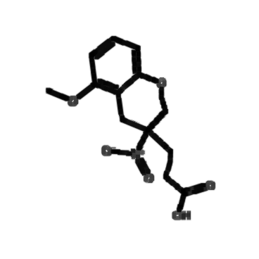 COc1cccc2c1CC(CCC(=O)O)([N+](=O)[O-])CO2